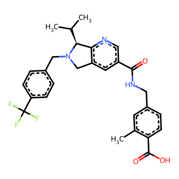 Cc1cc(CNC(=O)c2cnc3c(c2)CN(Cc2ccc(C(F)(F)F)cc2)[C@H]3C(C)C)ccc1C(=O)O